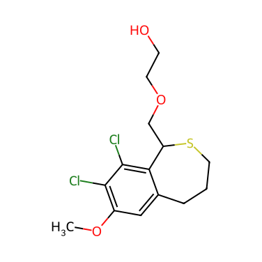 COc1cc2c(c(Cl)c1Cl)C(COCCO)SCCC2